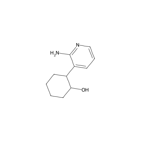 Nc1ncccc1C1CCCCC1O